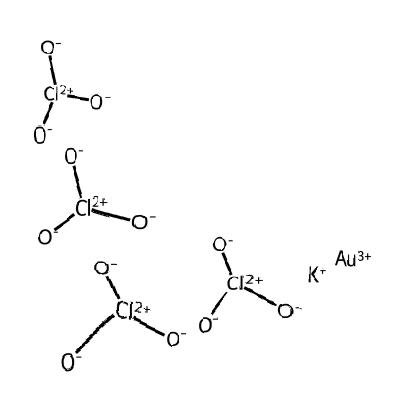 [Au+3].[K+].[O-][Cl+2]([O-])[O-].[O-][Cl+2]([O-])[O-].[O-][Cl+2]([O-])[O-].[O-][Cl+2]([O-])[O-]